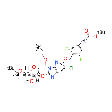 CCCCOC(=O)/C=C/c1cc(F)c(COc2nc3c(cc2Cl)nc(O[C@@H]2CO[C@H]4[C@@H]2OC[C@H]4O[Si](C)(C)C(C)(C)C)n3COCC[Si](C)(C)C)c(F)c1